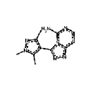 Cc1nn(C)c(C)c1-c1nnc2ccnc(N)n12